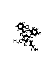 Cn1c(=O)n(CCCO)c(=O)c2c1nc(C1=C(Cl)C=CCC1)n2CC1=C=C=C(F)C=C1